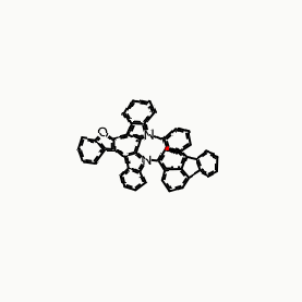 c1ccc(-n2c3ccccc3c3c4oc5ccccc5c4c4c5ccccc5n(-c5ccc6c7c(cccc57)-c5ccccc5-6)c4c32)cc1